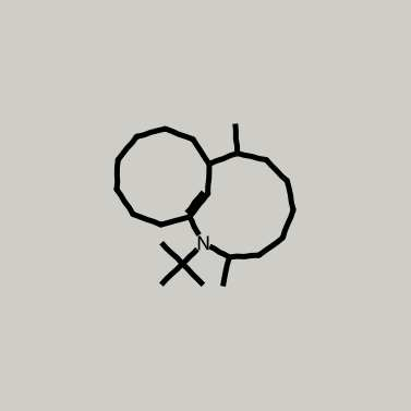 CC1CCCCCC(C)N(C(C)(C)C)C2=CC1CCCCCCC2